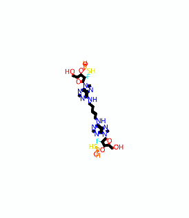 O=[PH](S)O[C@@H]1C(CO)O[C@@H](n2cnc3c(NC/C=C/CCNc4ncnc5c4ncn5[C@@H]4OC(CO)[C@@H](O[PH](=O)S)[C@H]4F)ncnc32)[C@@H]1F